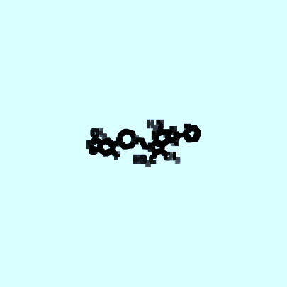 Cc1noc2cc(F)c(N3CCCN(CCn4c(C(=O)O)c(C)c5c4nc(N)n4nc(-c6ccccn6)nc54)CC3)cc12